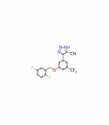 N#Cc1[nH]nnc1-c1cc(OCc2cc(F)ccc2F)cc(C(F)(F)F)c1